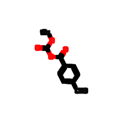 CC(C)(C)OC(=O)OC(=O)c1ccc(C=O)cc1